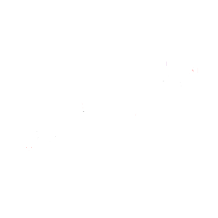 O=C(CCc1cc(I)c(O)c(I)c1)OCCOC(=O)CCc1cc(I)c(O)c(I)c1